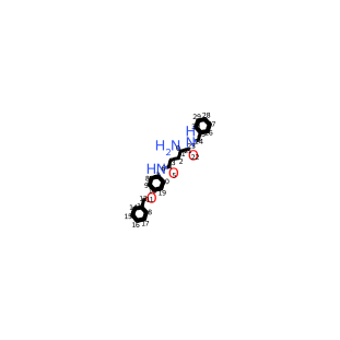 N[C@@H](CCC(=O)Nc1ccc(OCc2ccccc2)cc1)C(=O)NCc1ccccc1